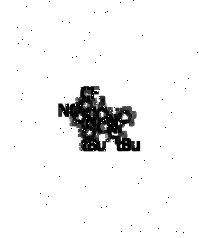 CC(C)(C)c1ccc2c(c1)c1ccccc1n2-c1ccc(-c2cc(C#N)cc(C(F)(F)F)c2)c(-n2c3ccccc3c3cc(C(C)(C)C)ccc32)c1C#N